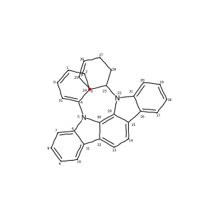 C1=CCCC(n2c3ccccc3c3ccc4c5ccccc5n(C5CC=CCC5)c4c32)=C1